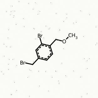 COCc1ccc(CBr)cc1Br